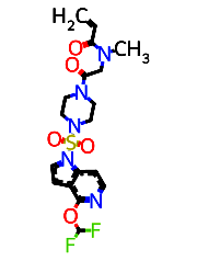 C=CC(=O)N(C)CC(=O)N1CCN(S(=O)(=O)n2ccc3c(OC(F)F)nccc32)CC1